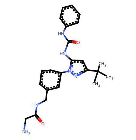 CC(C)(C)c1cc(NC(=O)Nc2ccccc2)n(-c2cccc(CNC(=O)CN)c2)n1